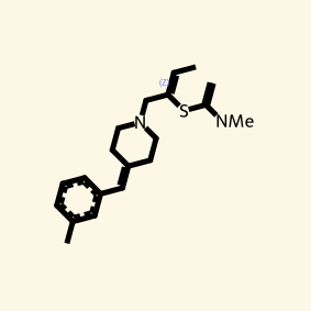 C=C(NC)S/C(=C\C)CN1CCC(=Cc2cccc(C)c2)CC1